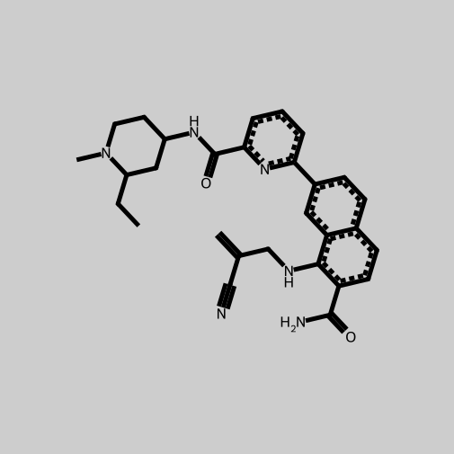 C=C(C#N)CNc1c(C(N)=O)ccc2ccc(-c3cccc(C(=O)NC4CCN(C)C(CC)C4)n3)cc12